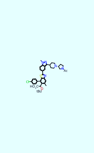 CC(=O)N1CC[C@@H](N2CCC(c3nn(C)c4ccc(-c5nc6cc(C)c(C(OC(C)(C)C)C(=O)O)c(-c7ccc(Cl)cc7)c6s5)cc34)CC2)C1